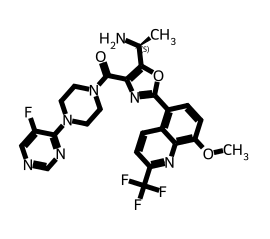 COc1ccc(-c2nc(C(=O)N3CCN(c4ncncc4F)CC3)c([C@H](C)N)o2)c2ccc(C(F)(F)F)nc12